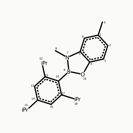 Cc1ccc2c(c1)N(C)B(c1c(C(C)C)cc(C(C)C)cc1C(C)C)O2